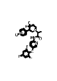 CC(C(=O)Nc1ccc(Oc2c(F)cc(F)cc2F)cn1)N1CCC(F)(F)C(c2cc[n+]([O-])cc2)C1